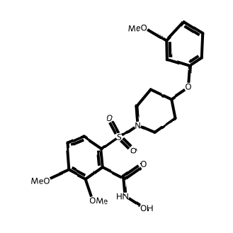 COc1cccc(OC2CCN(S(=O)(=O)c3ccc(OC)c(OC)c3C(=O)NO)CC2)c1